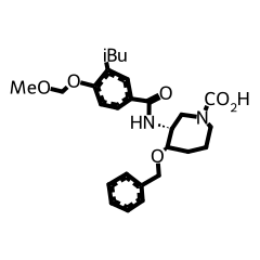 CCC(C)c1cc(C(=O)N[C@@H]2CN(C(=O)O)CCC[C@H]2OCc2ccccc2)ccc1OCOC